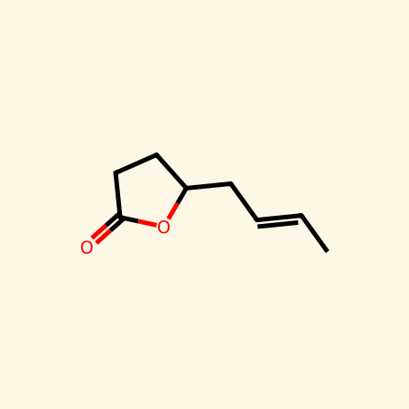 CC=CCC1CCC(=O)O1